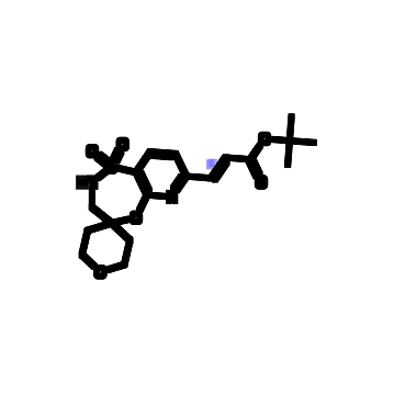 CC(C)(C)OC(=O)/C=C/c1ccc2c(n1)OC1(CCOCC1)CNS2(=O)=O